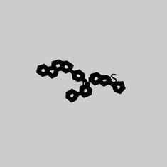 c1ccc(-c2cccc(N(c3ccc(-c4ccc5ccc6c7ccccc7ccc6c5c4)cc3)c3ccc4cc5sc6ccccc6c5cc4c3)c2)cc1